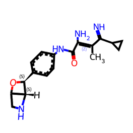 C/C(C(=N)C1CC1)=C(/N)C(=O)Nc1ccc([C@@H]2OC3CN[C@H]32)cc1